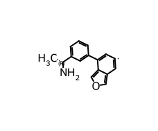 C[C@@H](N)c1cccc(-c2c[c]cc3cocc23)c1